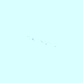 CCC(=O)OCCCCCCOc1ccc(N=Nc2ccc(N=Nc3ccc(N=Nc4ccc(OCCCCCCOC(=O)CC)cc4)cc3C)cc2)cc1